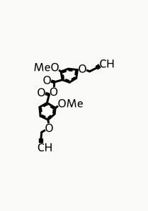 C#CCOc1ccc(C(=O)OC(=O)c2ccc(OCC#C)cc2OC)c(OC)c1